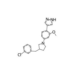 COc1cc(N2CCC(Cc3cccc(Cl)c3)C2)ccc1-c1cn[nH]c1